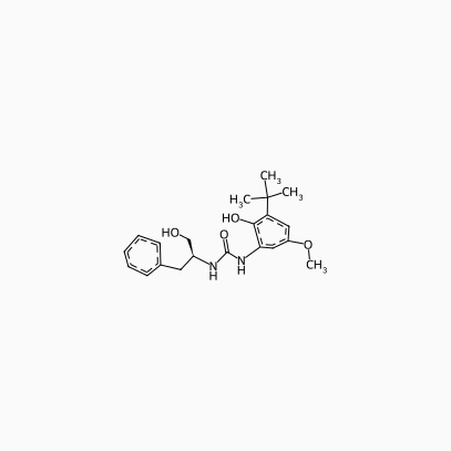 COc1cc(NC(=O)N[C@H](CO)Cc2ccccc2)c(O)c(C(C)(C)C)c1